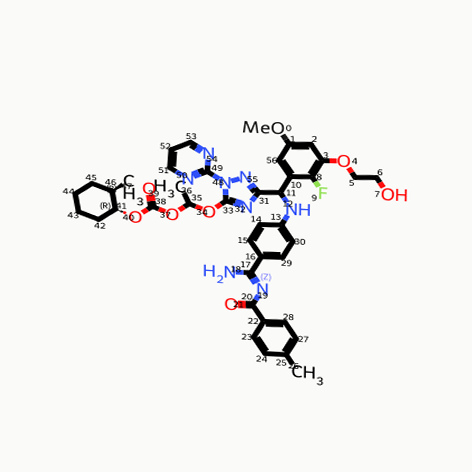 COc1cc(OCCO)c(F)c(C(Nc2ccc(/C(N)=N/C(=O)c3ccc(C)cc3)cc2)c2nc(OC(C)OC(=O)O[C@@H]3CCCC[C@H]3C)n(-c3ncccn3)n2)c1